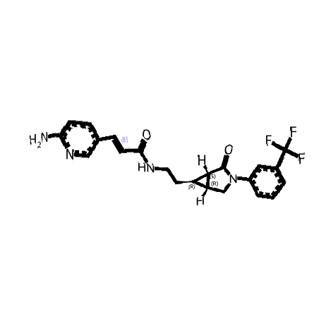 Nc1ccc(/C=C/C(=O)NCC[C@@H]2[C@H]3CN(c4cccc(C(F)(F)F)c4)C(=O)[C@@H]23)cn1